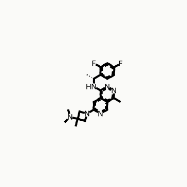 Cc1nnc(N[C@H](C)c2ccc(F)cc2F)c2cc(N3CC(C)(N(C)C)C3)ncc12